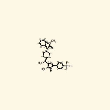 Cc1[nH]c(-c2ccc(C(F)(F)F)cc2)nc1C(C)N1CCC(n2c(=O)n(C)c3ccccc32)CC1